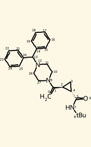 C=C([C@H]1C[C@@H]1C(=O)NC(C)(C)C)N1CCN(C(c2ccccc2)c2ccccc2)CC1